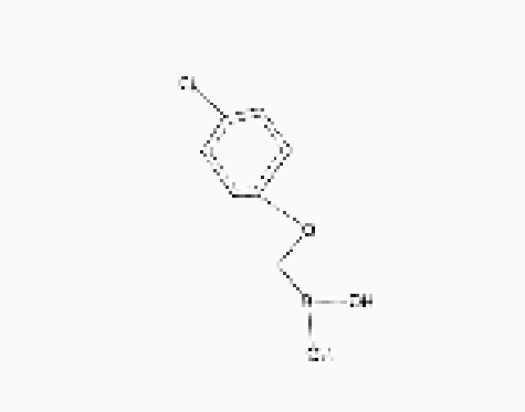 OB(O)COc1ccc(Cl)cc1